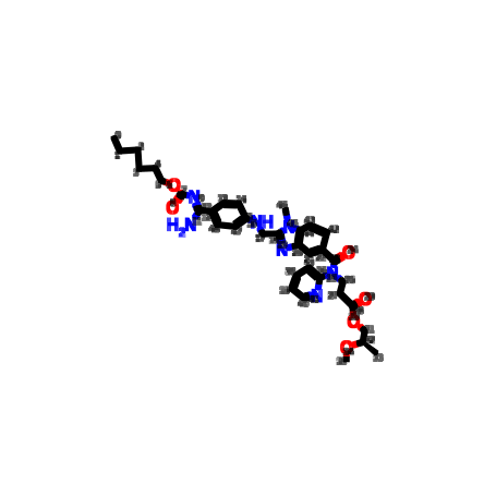 CCCCCCOC(=O)/N=C(\N)c1ccc(NCc2nc3cc(C(=O)N(CCC(=O)OC[C@@H](C)OC)c4ccccn4)ccc3n2C)cc1